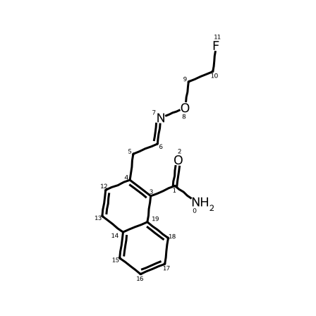 NC(=O)c1c(C/C=N/OCCF)ccc2ccccc12